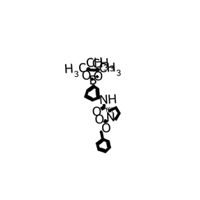 CC1(C)OB(c2cccc(NC(=O)[C@@H]3CCCN3C(=O)OCc3ccccc3)c2)OC1(C)C